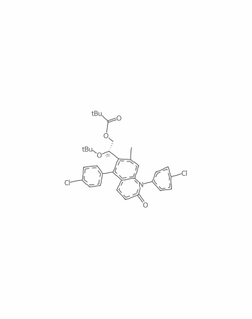 Cc1cc2c(ccc(=O)n2-c2ccc(Cl)cc2)c(-c2ccc(Cl)cc2)c1[C@@H](COC(=O)C(C)(C)C)OC(C)(C)C